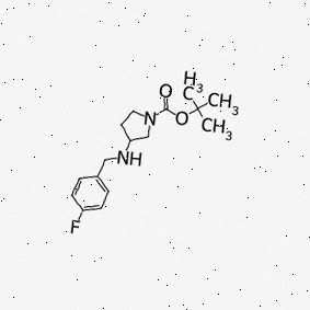 CC(C)(C)OC(=O)N1CCC(NCc2ccc(F)cc2)C1